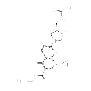 CCOC(=O)c1cn(C2CC2)c2nc(N3C[C@@H](CNC(C)=O)[C@@H](Cl)C3)c(F)cc2c1=O